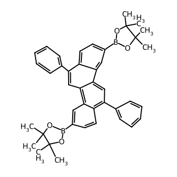 CC1(C)OB(c2ccc3c(-c4ccccc4)cc4c5cc(B6OC(C)(C)C(C)(C)O6)ccc5c(-c5ccccc5)cc4c3c2)OC1(C)C